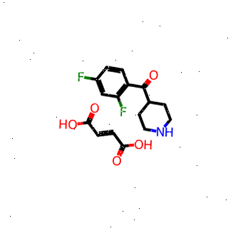 O=C(O)C=CC(=O)O.O=C(c1ccc(F)cc1F)C1CCNCC1